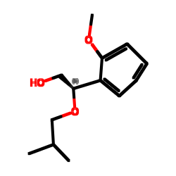 COc1ccccc1[C@H](CO)OCC(C)C